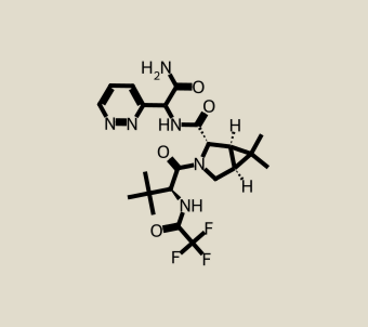 CC(C)(C)[C@H](NC(=O)C(F)(F)F)C(=O)N1C[C@H]2[C@@H]([C@H]1C(=O)NC(C(N)=O)c1cccnn1)C2(C)C